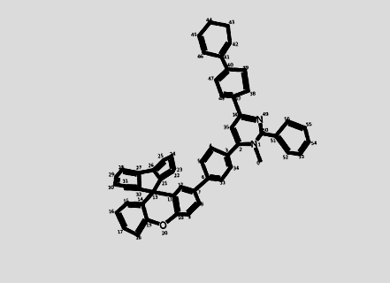 CN1C(c2ccc(-c3ccc4c(c3)C3(c5ccccc5O4)c4ccccc4-c4ccccc43)cc2)=CC(c2ccc(C3=CCCC=C3)cc2)=NC1c1ccccc1